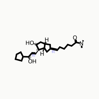 CN(C)C(=O)CCCC/C=C1\C[C@H]2C[C@@H](O)[C@H](/C=C/[C@@H](O)C3CCCC3)[C@H]2C1